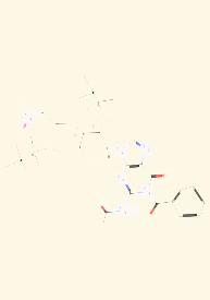 CC(=O)Nc1nc2c(ncn2[C@@H]2O[C@H](CO[Si](C)(C)C(C)(C)C)[C@@H](OCC[N+](=O)[O-])[C@H]2O[Si](C)(C)C(C)(C)C)c(=O)n1C(=O)c1ccccc1